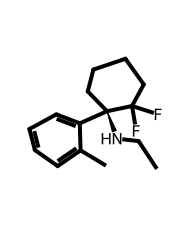 CCN[C@@]1(c2ccccc2C)CCCCC1(F)F